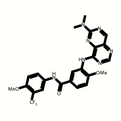 COc1ccc(C(=O)Nc2ccc(OC)c(C(F)(F)F)c2)cc1Nc1ncnc2cnc(N(C)C)nc12